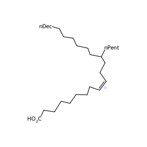 CCCCCCCCCCCCCCCCC(CC/C=C\CCCCCCCC(=O)O)CCCCC